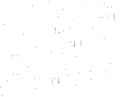 O=C(O)CSc1nc2c3ccc(F)cc3c3c(=O)[nH]ccc3c2[nH]1